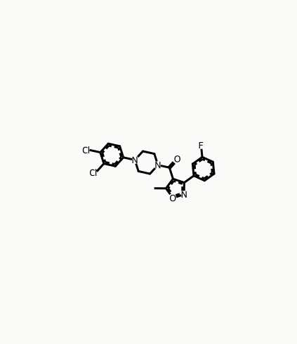 Cc1onc(-c2cccc(F)c2)c1C(=O)N1CCN(c2ccc(Cl)c(Cl)c2)CC1